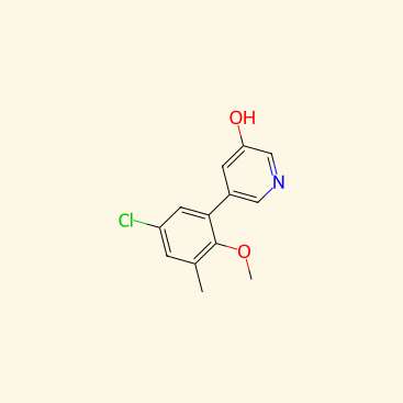 COc1c(C)cc(Cl)cc1-c1cncc(O)c1